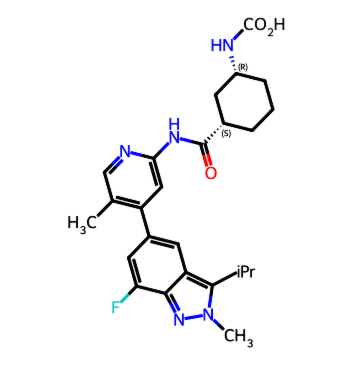 Cc1cnc(NC(=O)[C@H]2CCC[C@@H](NC(=O)O)C2)cc1-c1cc(F)c2nn(C)c(C(C)C)c2c1